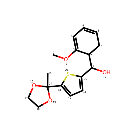 COC1=CC=CCC1C(O)c1ccc(C2(C)OCCO2)s1